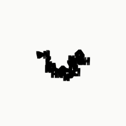 CN(CCn1cc(-c2cc3c(-c4cnc(C5(O)CCC5)s4)c(Cl)cnc3[nH]2)cn1)C1CC1